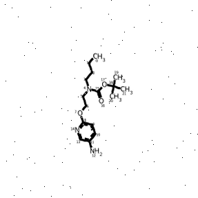 CCCCN(CCOc1ccc(N)cn1)C(=O)OC(C)(C)C